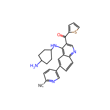 N#Cc1ccc(-c2ccc3ncc(C(=O)c4cccs4)c(NC4CCC(N)CC4)c3c2)cn1